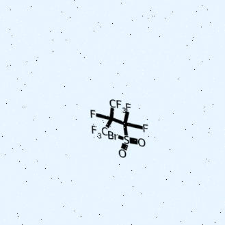 O=S(=O)(Br)C(F)(F)C(F)(C(F)(F)F)C(F)(F)F